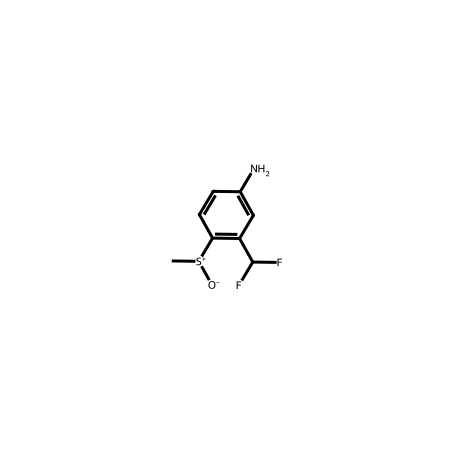 C[S+]([O-])c1ccc(N)cc1C(F)F